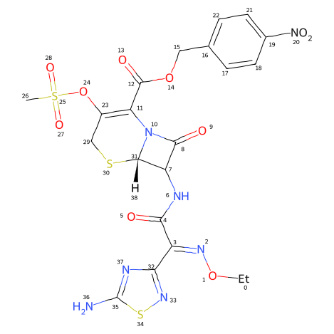 CCON=C(C(=O)NC1C(=O)N2C(C(=O)OCc3ccc([N+](=O)[O-])cc3)=C(OS(C)(=O)=O)CS[C@@H]12)c1nsc(N)n1